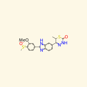 COc1cc(-c2nc3ccc(C4=NNC(=O)SC4C)cc3[nH]2)ccc1[S+](C)[O-]